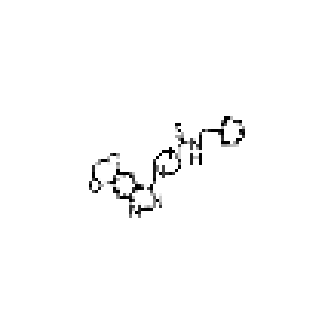 S=C(NCc1ccccc1)N1CCN(c2ncnc3cc4c(cc23)OCCO4)CC1